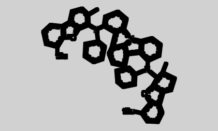 Cc1ccc2c(oc3c(C(C)(C)C)cccc32)c1N(c1ccccc1)c1cccc2c1c1cccc3c4c(N(c5ccccc5)c5c(C)ccc6c5oc5c(C(C)(C)C)cccc56)cccc4n2c13